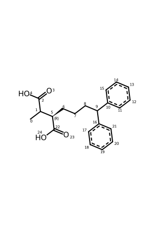 CC(C(=O)O)[C@@H](CCCC(c1ccccc1)c1ccccc1)C(=O)O